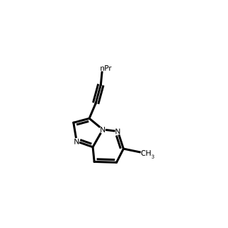 CCCC#Cc1cnc2ccc(C)nn12